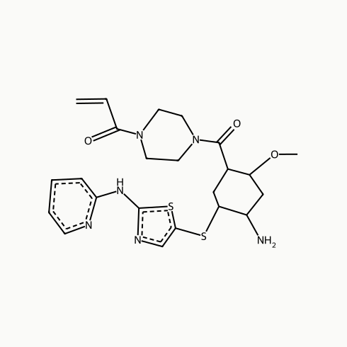 C=CC(=O)N1CCN(C(=O)C2CC(Sc3cnc(Nc4ccccn4)s3)C(N)CC2OC)CC1